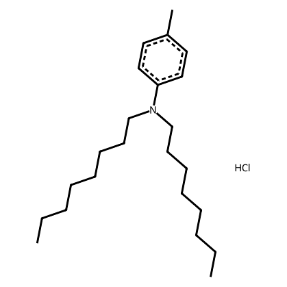 CCCCCCCCN(CCCCCCCC)c1ccc(C)cc1.Cl